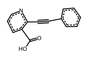 O=C(O)c1cccnc1C#Cc1ccccc1